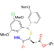 COc1cc(Cl)cc2c1NC(=O)[C@H](CC(=O)OC(C)C)S[C@H]2c1cccc(OC)c1OC